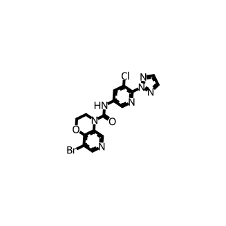 O=C(Nc1cnc(-n2nccn2)c(Cl)c1)N1CCOc2c(Br)cncc21